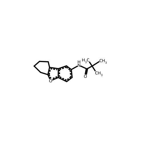 CC(C)(C)C(=O)Nc1ccc2oc3c(c2c1)CCCC3